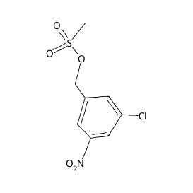 CS(=O)(=O)OCc1cc(Cl)cc([N+](=O)[O-])c1